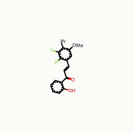 COc1cc(/C=C/C(=O)c2ccccc2O)c(F)c(F)c1C(C)C